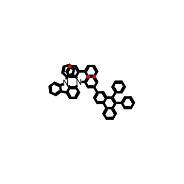 c1ccc(-c2ccccc2N(c2cccc(-c3ccc4c(c3)c(-c3ccccc3)c(-c3ccccc3)c3ccccc34)c2)c2cccc3c4ccccc4n(-c4ccccc4)c23)cc1